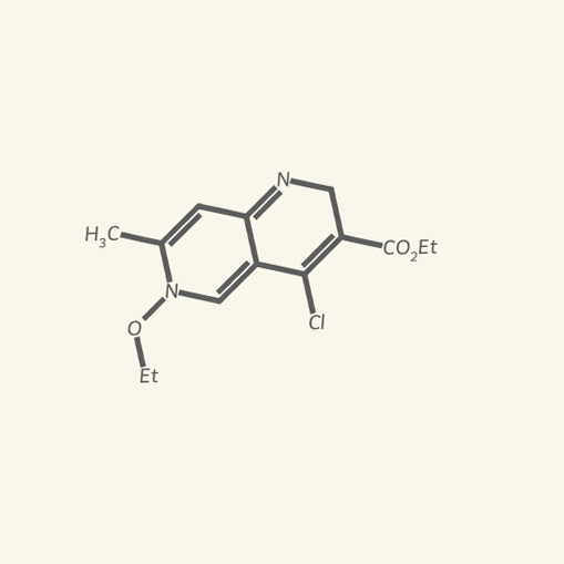 CCOC(=O)C1=C(Cl)C2=CN(OCC)C(C)=CC2=NC1